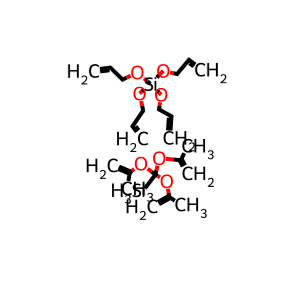 C=C(C)OC([SiH3])(OC(=C)C)OC(=C)C.C=CCO[Si](OCC=C)(OCC=C)OCC=C